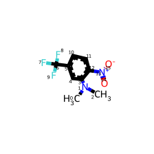 CN(C)c1cc(C(F)(F)F)ccc1[N+](=O)[O-]